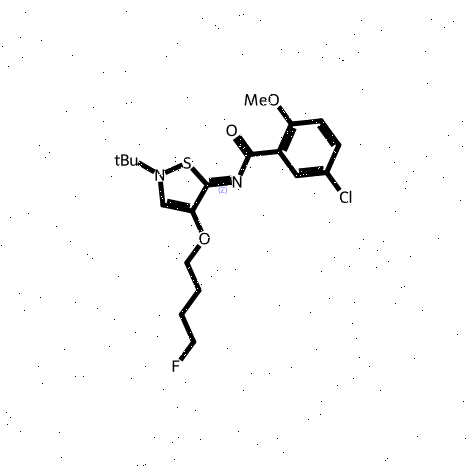 COc1ccc(Cl)cc1C(=O)/N=c1\sn(C(C)(C)C)cc1OCCCCF